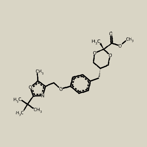 COC(=O)[C@]1(C)OC[C@H](Cc2ccc(OCc3nc(C(C)(C)C)oc3C)cc2)CO1